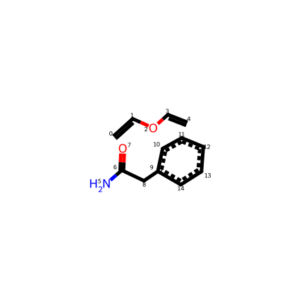 C=COC=C.NC(=O)Cc1ccccc1